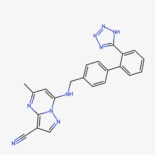 Cc1cc(NCc2ccc(-c3ccccc3-c3nnn[nH]3)cc2)n2ncc(C#N)c2n1